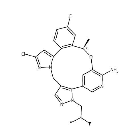 C[C@H]1Oc2cc(cnc2N)-c2c(cnn2CC(F)F)Cn2nc(Cl)cc2-c2ccc(F)cc21